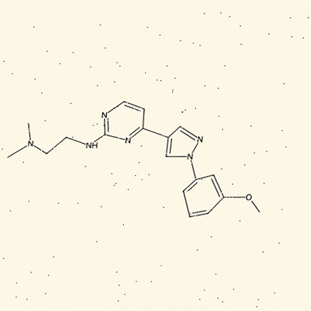 COc1cccc(-n2cc(-c3ccnc(NCCN(C)C)n3)cn2)c1